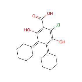 O=C(O)c1c(Cl)c(O)c(=C2CCCCC2)c(=C2CCCCC2)c1O